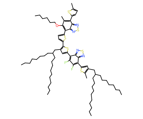 CCCCCCCCCCC(CCCCCCCC)Cc1cc(-c2c(F)c(F)c(-c3cc(CC(CCCCCCCC)CCCCCCCCCC)c(-c4ccc(-c5c(OCCCCCC)c(C)c(-c6ccc(C)s6)c6nsnc56)s4)s3)c3nsnc23)sc1C